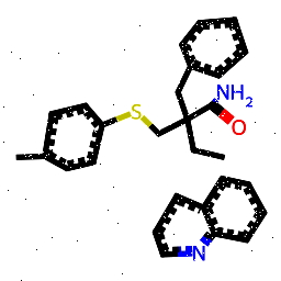 CCC(CSc1ccc(C)cc1)(Cc1ccccc1)C(N)=O.c1ccc2ncccc2c1